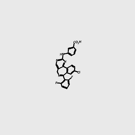 O=C(O)c1cccc(Nc2ncc3c(n2)-c2ccc(Cl)cc2C(c2c(F)cccc2F)=NC3)c1